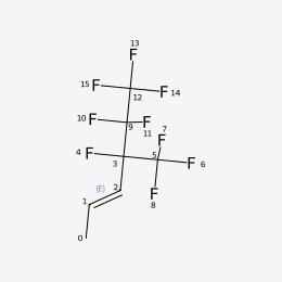 C/C=C/C(F)(C(F)(F)F)C(F)(F)C(F)(F)F